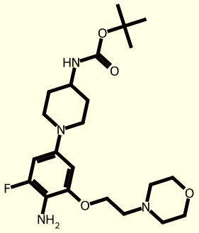 CC(C)(C)OC(=O)NC1CCN(c2cc(F)c(N)c(OCCN3CCOCC3)c2)CC1